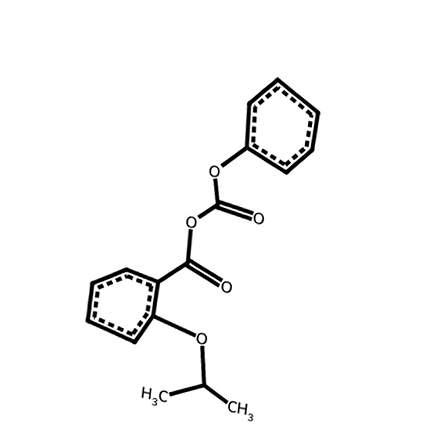 CC(C)Oc1ccccc1C(=O)OC(=O)Oc1ccccc1